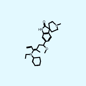 C=C/C(=C(/C)CC(OC)c1ccc2c(c1)NC(=O)C21CCN(C)CC1)N(CC)C1CCCCC1